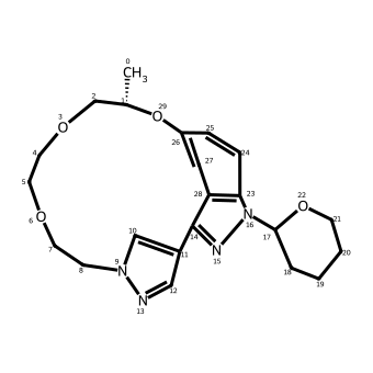 C[C@H]1COCCOCCn2cc(cn2)-c2nn(C3CCCCO3)c3ccc(cc23)O1